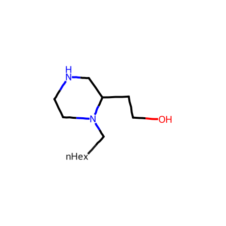 CCCCCCCN1CCNCC1CCO